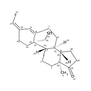 C[C@]12CC[C@H]3[C@@H](CCC4=CC(=CF)CC[C@@]43CS)[C@@H]1CCC2=O